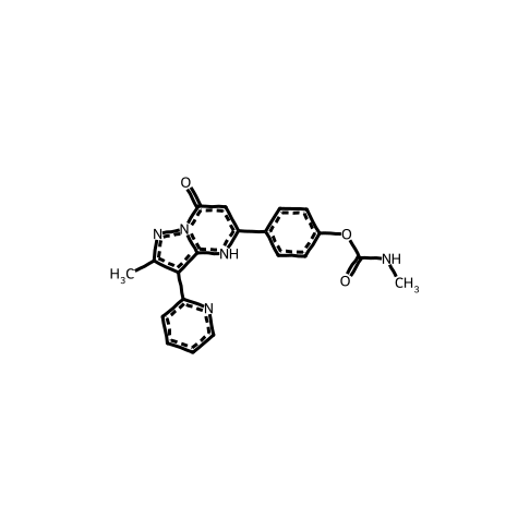 CNC(=O)Oc1ccc(-c2cc(=O)n3nc(C)c(-c4ccccn4)c3[nH]2)cc1